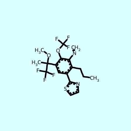 C=Nc1c(CCC)c(-c2nccs2)cc(C(C)(OC)C(F)(F)F)c1OC(F)(F)F